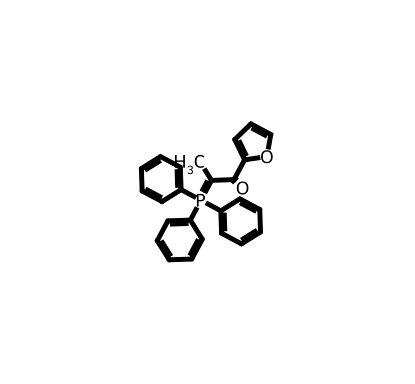 CC(C(=O)c1ccco1)=P(c1ccccc1)(c1ccccc1)c1ccccc1